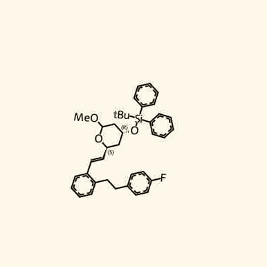 COC1C[C@H](O[Si](c2ccccc2)(c2ccccc2)C(C)(C)C)C[C@@H](C=Cc2ccccc2CCc2ccc(F)cc2)O1